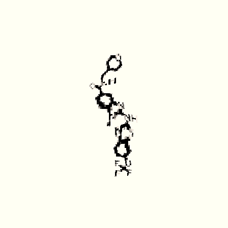 Cn1c(Nc2nc3ccc(OC(F)(F)F)cc3s2)nc2cc(C(=O)NCC3CCOCC3)ccc21